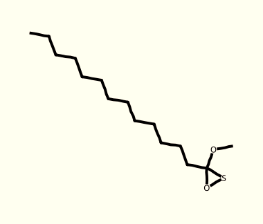 CCCCCCCCCCCCCC1(OC)OS1